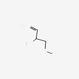 C=CC(O)COCC